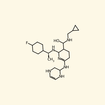 C[C@H](NC1N=C(NC2CNC=CN2)CCC1C(O)NCC1CC1)C1CCC(F)CC1